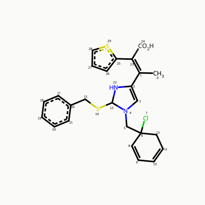 CC(C1=CN(CC2(Cl)C=CC=CC2)C(SCc2ccccc2)N1)=C(C(=O)O)c1cccs1